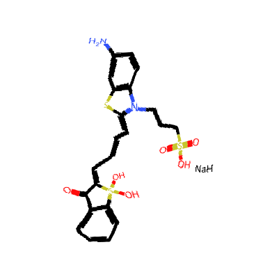 Nc1ccc2c(c1)SC(=CC=CC=C1C(=O)c3ccccc3S1(O)O)N2CCCS(=O)(=O)O.[NaH]